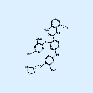 CCCc1ccc(Oc2nc(Nc3ccc(OC[C@@H]4CCCN4)c(OC)c3)ncc2C(=O)Nc2c(C)cccc2C)c(OC)c1